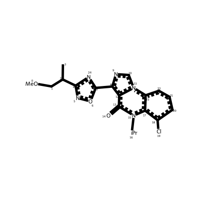 COCC(C)c1noc(-c2ncn3c2c(=O)n(C(C)C)c2c(Cl)cccc23)n1